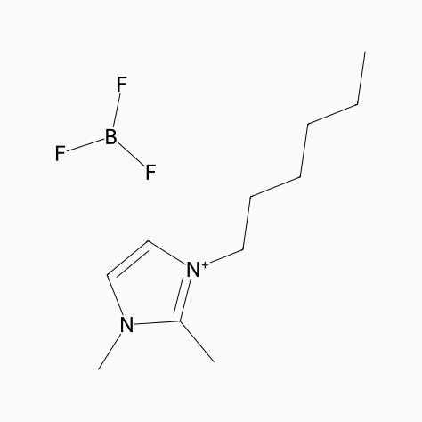 CCCCCC[n+]1ccn(C)c1C.FB(F)F